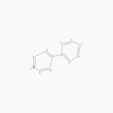 b1ccc(-c2ccccc2)cc1